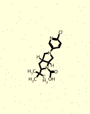 CC(C)(C)C1C[C@@H]2CN(c3ccc(Cl)nc3)C[C@@H]2N1C(=O)O